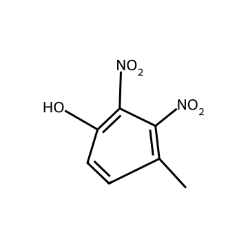 Cc1ccc(O)c([N+](=O)[O-])c1[N+](=O)[O-]